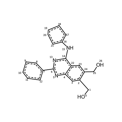 OCc1cc2nc(-c3ccccc3)nc(Nc3ccccc3)c2cc1CO